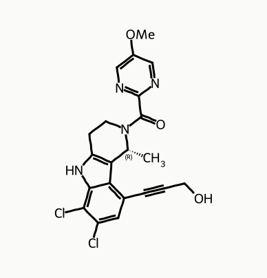 COc1cnc(C(=O)N2CCc3[nH]c4c(Cl)c(Cl)cc(C#CCO)c4c3[C@H]2C)nc1